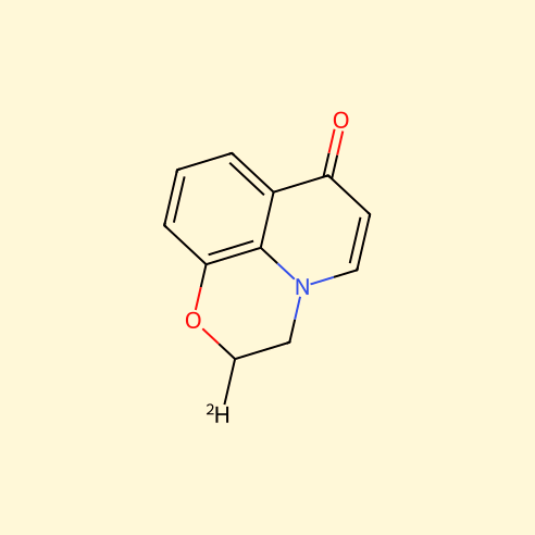 [2H]C1Cn2ccc(=O)c3cccc(c32)O1